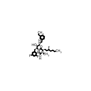 CCCCC(F)CC[C@H](C(=O)N[C@@H](Cc1cc(F)cc(F)c1)[C@H](O)CNCc1cccc(CC)c1)N(C)C(=O)O